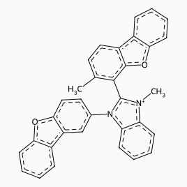 Cc1ccc2c(oc3ccccc32)c1-c1n(-c2ccc3oc4ccccc4c3c2)c2ccccc2[n+]1C